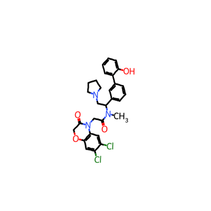 CN(C(=O)CN1C(=O)COc2cc(Cl)c(Cl)cc21)C(CN1CCCC1)c1cccc(-c2ccccc2O)c1